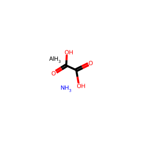 N.O=C(O)C(=O)O.[AlH3]